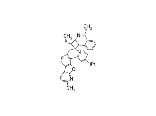 C=CC1=NC2C(C=C)C3(Cc4ccc5c(oc6nc(C)ccc65)c4-c4cc(C(C)C)cc[n+]43)C2c2ccccc21